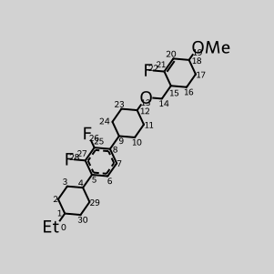 CCC1CCC(c2ccc(C3CCC(OCC4CCC(OC)C=C4F)CC3)c(F)c2F)CC1